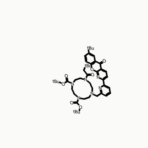 CC(C)(C)CC(=O)N1CCN(Cc2cccc(-c3ccc4c(=O)c5cc(C(C)(C)C)ccc5oc4n3)n2)CCN(C(=O)OC(C)(C)C)CCN(C(=O)OC(C)(C)C)CC1